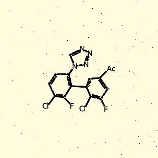 CC(=O)c1[c]c(F)c(Cl)c(-c2c(-n3cnnn3)ccc(Cl)c2F)c1